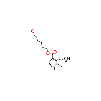 Cc1ccc(C(=O)OCCCCCCO)c(C(=O)O)c1C